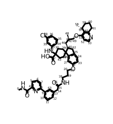 CNC(=O)c1cccc(-c2cccc(CC(=O)NCCCOc3ccc4c(c3)C3(CCC(Nc5cccc(Cl)c5)(C(=O)O)CC3)[C@@H](C[C@@H](C)COc3ccnc5c3[C@H](C)CCC5)C4)c2)n1